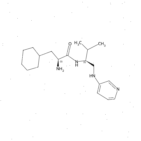 CC(C)[C@@H](CNc1cccnc1)NC(=O)[C@@H](N)CC1CCCCC1